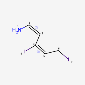 N/C=C\C(I)=C/CI